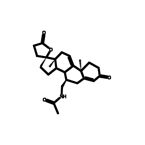 CC(=O)NC[C@@H]1CC2=CC(=O)CC[C@]2(C)C2=CC[C@@]3(C)C(CC[C@@]34CCC(=O)O4)C21